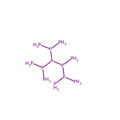 PP(P)P(P)P(P(P)P)P(P)P